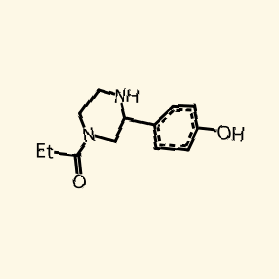 CCC(=O)N1CCNC(c2ccc(O)cc2)C1